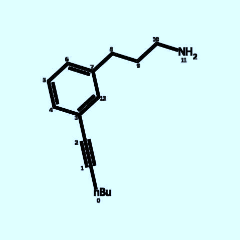 CCCCC#Cc1cccc(CCCN)c1